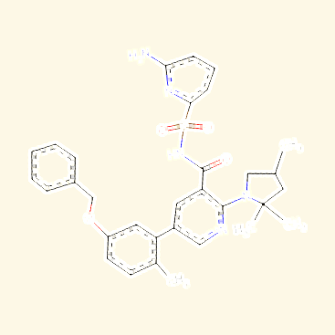 Cc1ccc(OCc2ccccc2)cc1-c1cnc(N2CC(C)CC2(C)C)c(C(=O)NS(=O)(=O)c2cccc(N)n2)c1